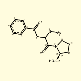 CC(=O)SC(CC(=O)c1ccccc1)C(=O)N1CSC[C@H]1C(=O)O